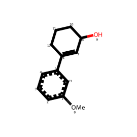 COc1cccc(C2=CC(O)CCC2)c1